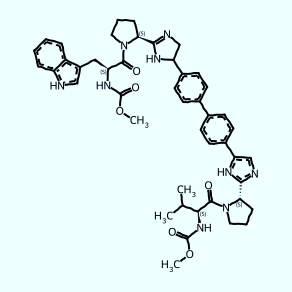 COC(=O)N[C@@H](Cc1c[nH]c2ccccc12)C(=O)N1CCC[C@H]1C1=NCC(c2ccc(-c3ccc(-c4cnc([C@@H]5CCCN5C(=O)[C@@H](NC(=O)OC)C(C)C)[nH]4)cc3)cc2)N1